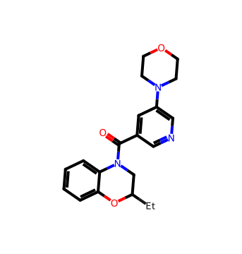 CCC1CN(C(=O)c2cncc(N3CCOCC3)c2)c2ccccc2O1